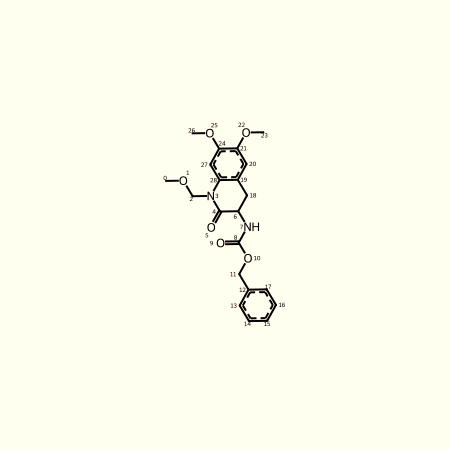 COCN1C(=O)C(NC(=O)OCc2ccccc2)Cc2cc(OC)c(OC)cc21